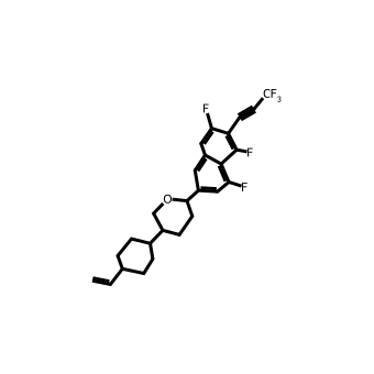 C=CC1CCC(C2CCC(c3cc(F)c4c(F)c(C#CC(F)(F)F)c(F)cc4c3)OC2)CC1